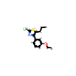 CCCc1sc(Cl)nc1-c1cccc(OCC)c1